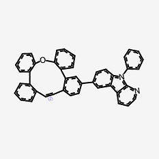 C1=C\c2ccc(-c3ccc4c(c3)c3cccnc3n4-c3ccccc3)cc2-c2ccccc2Oc2ccccc2-c2ccccc2/1